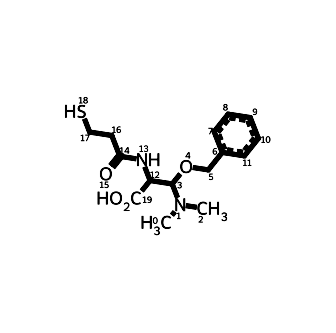 CN(C)C(OCc1ccccc1)C(NC(=O)CCS)C(=O)O